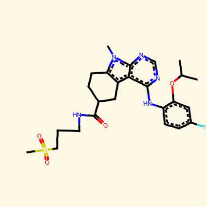 CC(C)Oc1cc(F)ccc1Nc1ncnc2c1c1c(n2C)CCC(C(=O)NCCCS(C)(=O)=O)C1